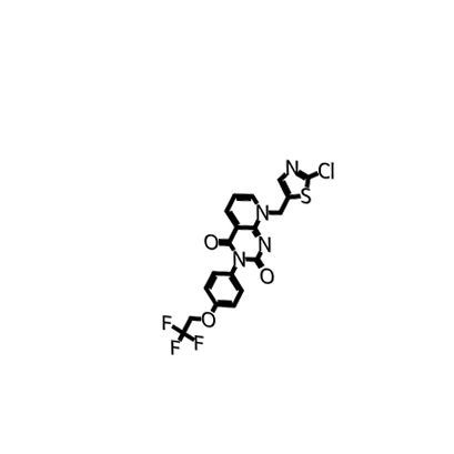 O=c1nc2n(Cc3cnc(Cl)s3)cccc-2c(=O)n1-c1ccc(OCC(F)(F)F)cc1